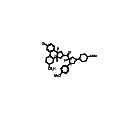 COc1ccc([C@@H]2CN(C3CCC(OC)CC3)C[C@@]2(F)C(=O)N2C[C@@H]3c4ccc(Cl)cc4N4CCC(C(=O)O)CC4[C@H]3C2)cc1